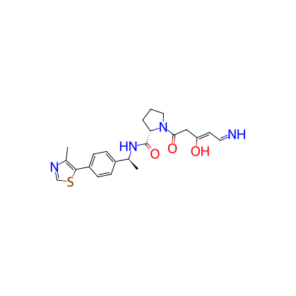 Cc1ncsc1-c1ccc([C@H](C)NC(=O)[C@@H]2CCCN2C(=O)C/C(O)=C/C=N)cc1